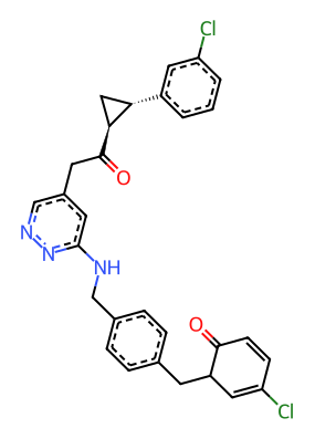 O=C1C=CC(Cl)=CC1Cc1ccc(CNc2cc(CC(=O)[C@H]3C[C@@H]3c3cccc(Cl)c3)cnn2)cc1